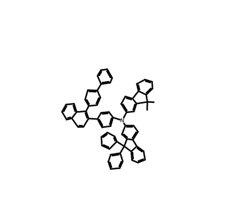 CC1(C)c2ccccc2-c2ccc(N(c3ccc(-c4ccc5ccccc5c4-c4ccc(-c5ccccc5)cc4)cc3)c3ccc4c(c3)C(c3ccccc3)(c3ccccc3)c3ccccc3-4)cc21